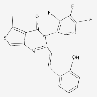 Cc1scc2nc(C=Cc3ccccc3O)n(-c3ccc(F)c(F)c3F)c(=O)c12